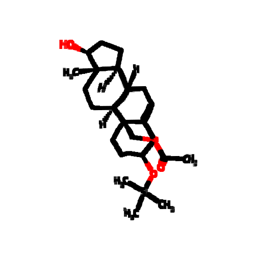 CC(=O)OC[C@]12CC[C@H](O[Si](C)(C)C)CC1=CC[C@@H]1[C@@H]2CC[C@]2(C)[C@@H](O)CC[C@@H]12